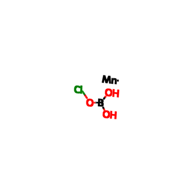 OB(O)OCl.[Mn]